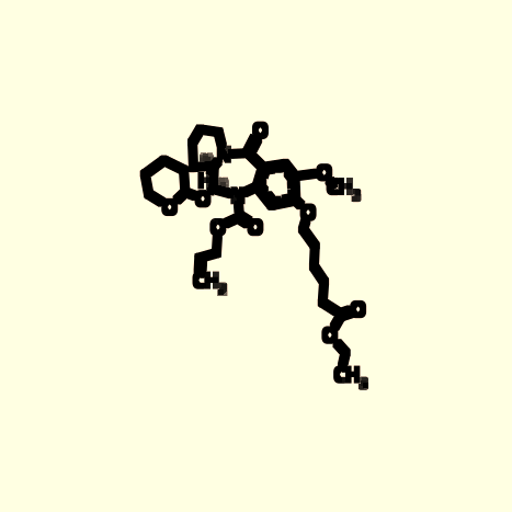 C=CCOC(=O)N1c2cc(OCCCCCC(=O)OCC)c(OC)cc2C(=O)N2CCCC[C@H]2[C@@H]1OC1CCCCO1